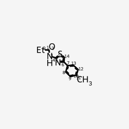 CCC(=O)Nc1nc(-c2ccc(C)cc2)cs1